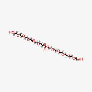 O=C(OCCOCCOCCOCCOCCOCCO)OCCOCCOCCOCCOCCOCCO